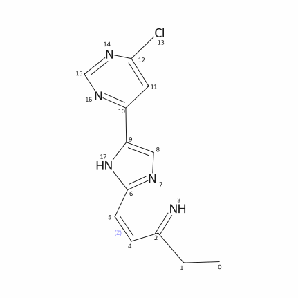 CCC(=N)/C=C\c1ncc(-c2cc(Cl)ncn2)[nH]1